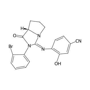 N#Cc1ccc(N=C2N(c3ccccc3Br)C(=O)[C@@H]3CCCN23)c(O)c1